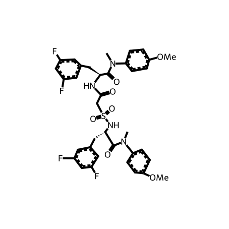 COc1ccc(N(C)C(=O)[C@H](Cc2cc(F)cc(F)c2)NC(=O)CS(=O)(=O)N[C@@H](Cc2cc(F)cc(F)c2)C(=O)N(C)c2ccc(OC)cc2)cc1